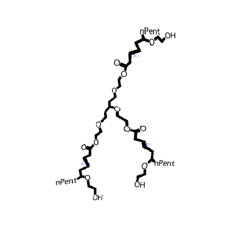 CCCCCC(C/C=C/CC(=O)OCCOCCC(CCOCCOC(=O)C/C=C/CC(CCCCC)OCCO)OCCOC(=O)C/C=C/CC(CCCCC)OCCO)OCCO